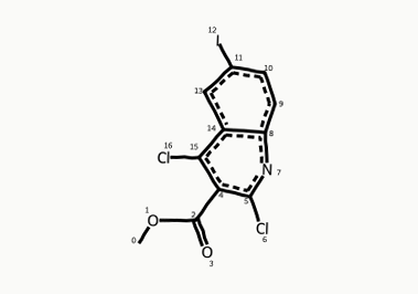 COC(=O)c1c(Cl)nc2ccc(I)cc2c1Cl